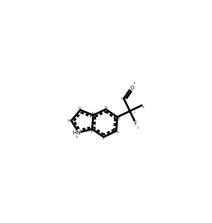 CC(F)(C=O)c1ccc2[nH]ccc2c1